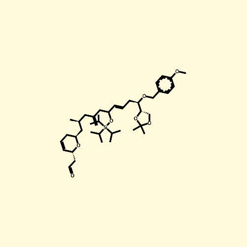 C=C(CC(/C=C/C[C@@H](OCc1ccc(OC)cc1)[C@@H]1COC(C)(C)O1)O[Si](C(C)C)(C(C)C)C(C)C)C[C@H](C)C[C@@H]1CC=C[C@@H](CC=O)O1